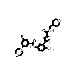 Cc1ccc(NC(=O)c2cc(F)cc(N3CCOCC3)c2)cc1-c1cc(C(=O)NCC2CCOCC2)on1